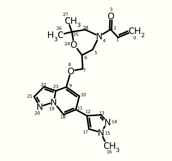 C=CC(=O)N1CC(COc2cc(-c3cnn(C)c3)cn3nccc23)OC(C)(C)C1